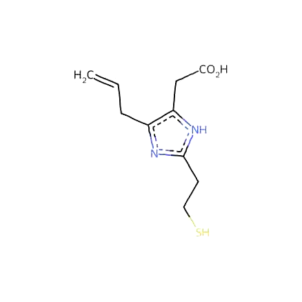 C=CCc1nc(CCS)[nH]c1CC(=O)O